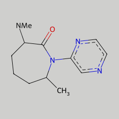 CNC1CCCC(C)N(c2cnccn2)C1=O